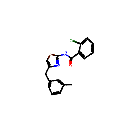 Cc1cccc(Cc2csc(NC(=O)c3ccccc3Cl)n2)c1